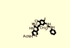 CC(=O)Nc1cc2[nH]c(=O)c(C(C)(C)c3cc(NC(=O)Nc4ccccc4)c(F)cc3Cl)cc2cn1